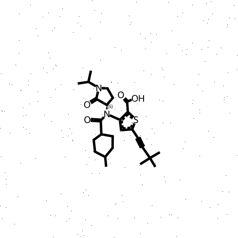 CC1CCC(C(=O)N(c2cc(C#CC(C)(C)C)sc2C(=O)O)[C@H]2CCN(C(C)C)C2=O)CC1